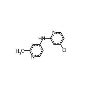 Cc1cc(Nc2cc(Cl)ccn2)ccn1